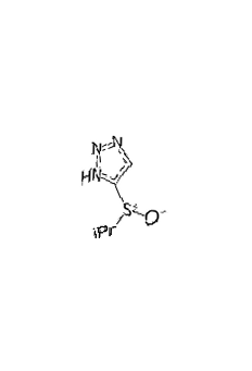 CC(C)[S+]([O-])c1cnn[nH]1